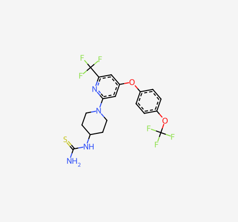 NC(=S)NC1CCN(c2cc(Oc3ccc(OC(F)(F)F)cc3)cc(C(F)(F)F)n2)CC1